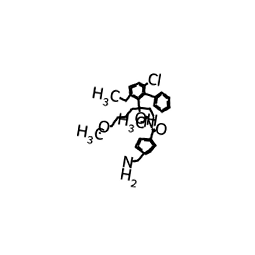 CCc1ccc(Cl)c(-c2ccccc2)c1C(O)(CCCCOC)CCN(C)C(=O)c1ccc(CN)cc1